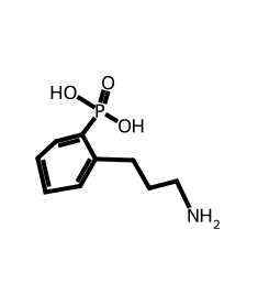 NCCCc1ccccc1P(=O)(O)O